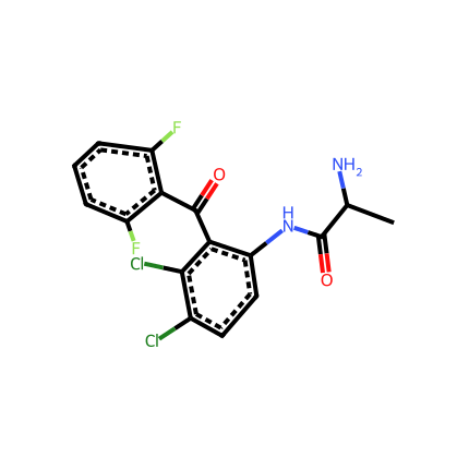 CC(N)C(=O)Nc1ccc(Cl)c(Cl)c1C(=O)c1c(F)cccc1F